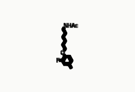 CC(=O)NCCCCCCOc1ccc(C)cc1F